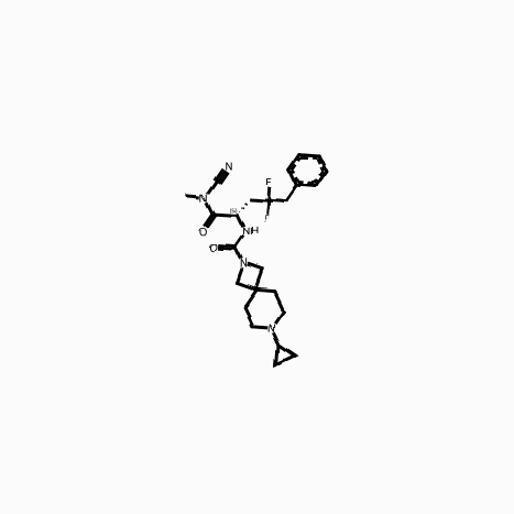 CN(C#N)C(=O)[C@H](CC(F)(F)Cc1ccccc1)NC(=O)N1CC2(CCN(C3CC3)CC2)C1